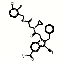 N#Cc1c(Cc2ccccc2)n(CC(=O)N(CC(=O)NCc2cccc(Cl)c2F)C2CC2)c2ccc(C(N)=O)cc12